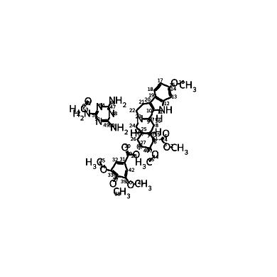 C=O.COC(=O)[C@H]1[C@H]2C[C@@H]3c4[nH]c5cc(OC)ccc5c4CCN3C[C@H]2C[C@@H](OC(=O)c2cc(OC)c(OC)c(OC)c2)[C@@H]1OC.Nc1nc(N)nc(N)n1